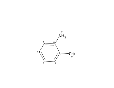 [CH]c1ccccc1C